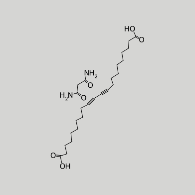 NC(=O)CC(N)=O.O=C(O)CCCCCCCCC#CC#CCCCCCCCCC(=O)O